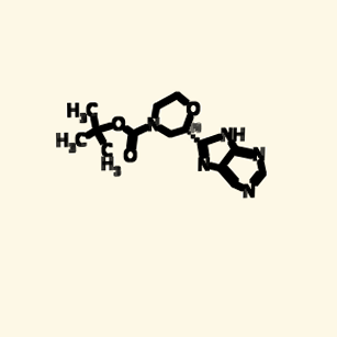 CC(C)(C)OC(=O)N1CCO[C@H](c2nc3cncnc3[nH]2)C1